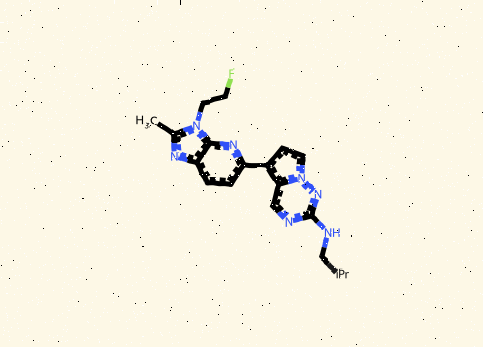 Cc1nc2ccc(-c3ccn4nc(NCC(C)C)ncc34)nc2n1CCF